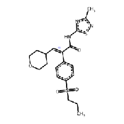 CCCS(=O)(=O)c1ccc(/C(=C\C2CCOCC2)C(=O)Nc2nc(C)ns2)cc1